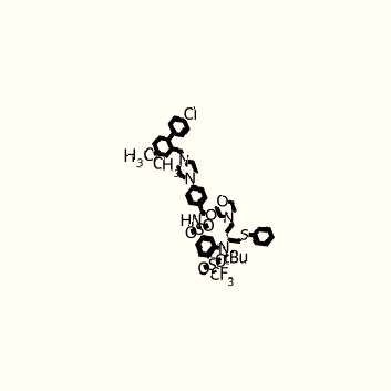 CC1(C)CCC(c2ccc(Cl)cc2)=C(CN2CCN(c3ccc(C(=O)NS(=O)(=O)c4ccc(S(=O)(=O)C(F)(F)F)c(N([C@H](CCN5CCOCC5)CSc5ccccc5)C(C)(C)C)c4)cc3)CC2)C1